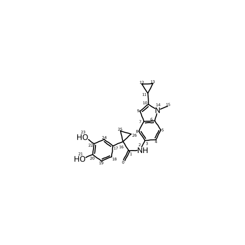 C=C(Nc1ccc2c(c1)cc(C1CC1)n2C)C1(c2ccc(O)c(O)c2)CC1